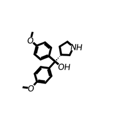 COc1ccc(C(O)(c2ccc(OC)cc2)[C@@H]2CCNC2)cc1